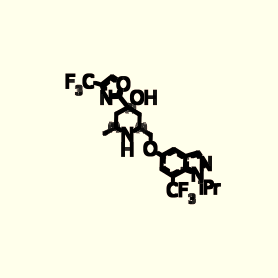 CC(C)n1ncc2cc(OC[C@@H]3C[C@](O)(c4nc(C(F)(F)F)co4)C[C@H](C)N3)cc(C(F)(F)F)c21